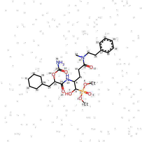 CCOP(=O)(OCC)C(O)C(CCC(=O)N(C)CCc1ccccc1)NC(=O)C(CC1CCCCC1)OC(N)=O